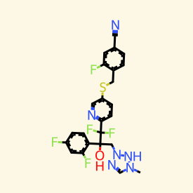 CN1C=NN(CC(O)(c2ccc(F)cc2F)C(F)(F)c2ccc(SCc3ccc(C#N)cc3F)cn2)N1